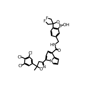 CC1(c2cc(Cl)c(Cl)c(Cl)c2)CC(c2ccc(C(=O)NCc3ccc4c(c3)B(O)OC4(CF)CF)c3cccn23)=NO1